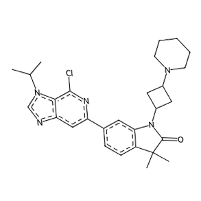 CC(C)n1cnc2cc(-c3ccc4c(c3)N(C3CC(N5CCCCC5)C3)C(=O)C4(C)C)nc(Cl)c21